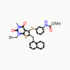 COC(=O)Nc1cccc(Sc2c(Cc3cccc4ccccc34)sc3c2c(=O)n(C)c(=O)n3CC(C)C)c1